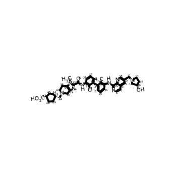 Cc1c(Nc2nccc3cc(CN4CC[C@H](O)C4)cnc23)cccc1-c1cccc(NC(=O)c2nc3c(n2C)CCN(C[C@H]2CC[C@@H](C(=O)O)CC2)C3)c1Cl